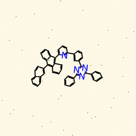 c1ccc(-c2nc(-c3ccccc3)nc(-c3cccc(-c4cccc(-c5c6ccccc6c(-c6ccc7ccccc7c6)c6ccccc56)n4)c3)n2)cc1